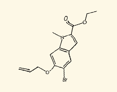 C=CCOc1cc2c(cc1Br)cc(C(=O)OCC)n2C